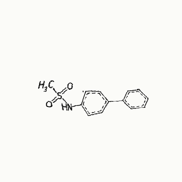 CS(=O)(=O)Nc1[c]cc(-c2ccccc2)cc1